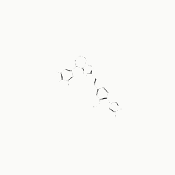 COc1cc(C=Cc2nc3n(n2)CCCC3c2cc(F)c(F)c(F)c2)ccc1-n1cnc(C)c1